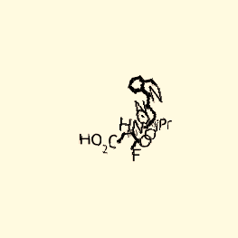 CC(C)[C@@]1(C(=O)N[C@H](CCC(=O)O)C(=O)CF)CC(c2nccc3ccccc23)=NO1